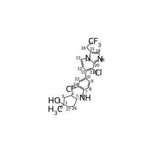 C[C@]1(O)CC[C@H](Nc2ccc(-c3ccn4c(CC(F)(F)F)cnc4c3Cl)cc2Cl)CC1